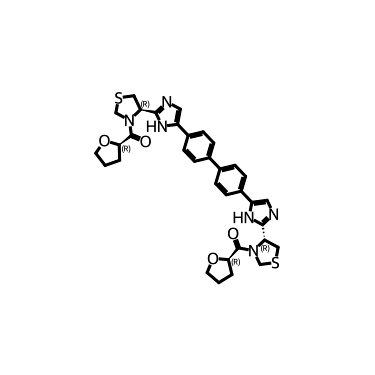 O=C([C@H]1CCCO1)N1CSC[C@H]1c1ncc(-c2ccc(-c3ccc(-c4cnc([C@@H]5CSCN5C(=O)[C@H]5CCCO5)[nH]4)cc3)cc2)[nH]1